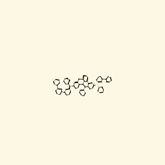 CC1(C)c2cc(N(c3ccccc3)c3cccc4c3sc3c(-c5ccccc5)cccc34)ccc2-c2c(-c3ccccc3)c3ccc(N(c4ccccc4)c4cccc5c4sc4ccccc45)cc3c3cccc1c23